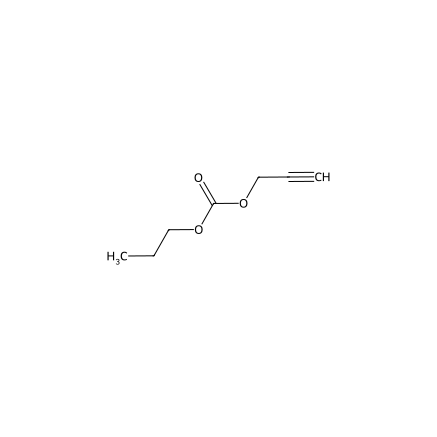 C#CCOC(=O)OCCC